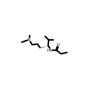 CCC(=O)N[C@H](CCCN(C)C)C(C)C